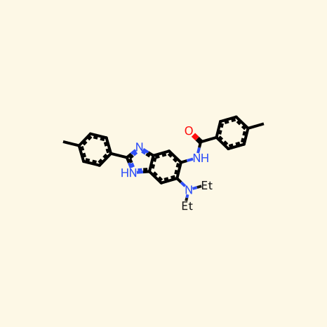 CCN(CC)c1cc2[nH]c(-c3ccc(C)cc3)nc2cc1NC(=O)c1ccc(C)cc1